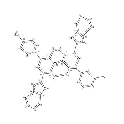 Cc1cccc(-c2cc(-c3cc4ccccc4o3)c3ccc4c(-c5ccc(C(C)(C)C)cc5)cc(-c5cc6ccccc6o5)c5ccc2c3c45)c1